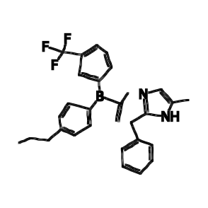 C=C(C)B(c1ccc(CCC)cc1)c1cccc(C(F)(F)F)c1.Cc1cnc(Cc2ccccc2)[nH]1